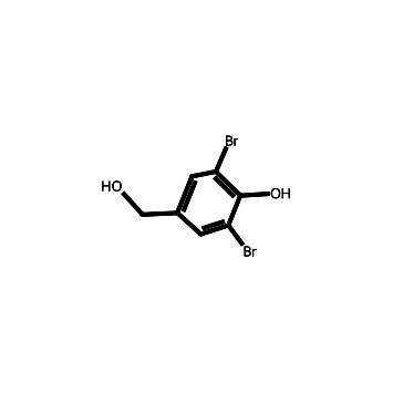 OCc1cc(Br)c(O)c(Br)c1